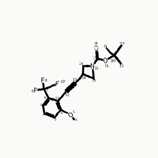 COc1cccc(C(F)(F)F)c1C#CC1CN(C(=O)OC(C)(C)C)C1